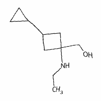 CCNC1(CO)CC(C2CC2)C1